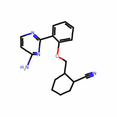 N#CC1CCCCC1COc1ccccc1-c1nccc(N)n1